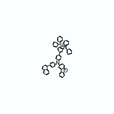 c1ccc(N2c3ccccc3[Si](c3ccccc3)(c3ccccc3)c3ccc(-c4ccc(N(c5ccc(-c6cccc7ccccc67)cc5)c5ccc6oc7ccccc7c6c5)cc4)cc32)cc1